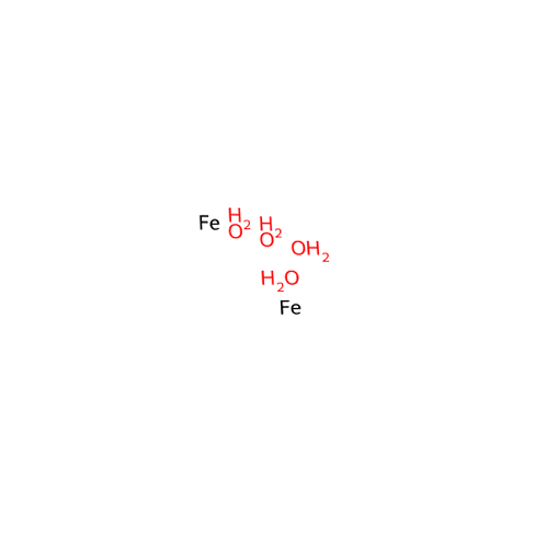 O.O.O.O.[Fe].[Fe]